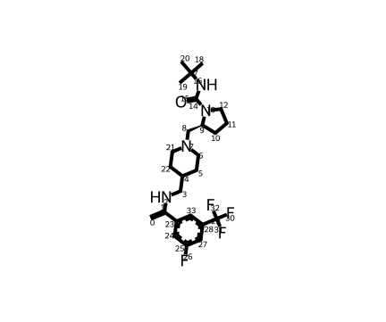 C=C(NCC1CCN(C[C@@H]2CCCN2C(=O)NC(C)(C)C)CC1)c1cc(F)cc(C(F)(F)F)c1